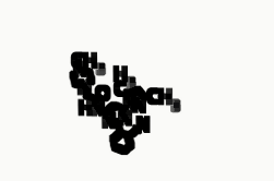 Cc1cc(C)n(-c2cc(NC(=O)CN3CCN(C)CC3)nc(-c3ccccc3C#N)n2)n1